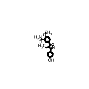 CCc1c(-c2ccc(O)cc2)noc1-c1ccc(OC)c(C(N)=O)c1